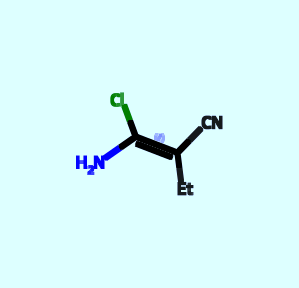 CC/C(C#N)=C(\N)Cl